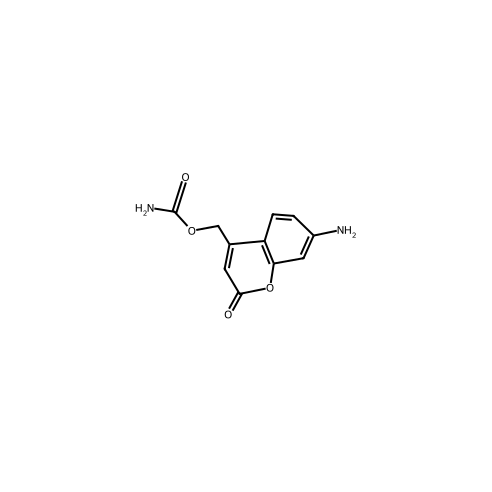 NC(=O)OCc1cc(=O)oc2cc(N)ccc12